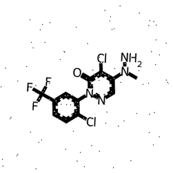 CN(N)c1cnn(-c2cc(C(F)(F)F)ccc2Cl)c(=O)c1Cl